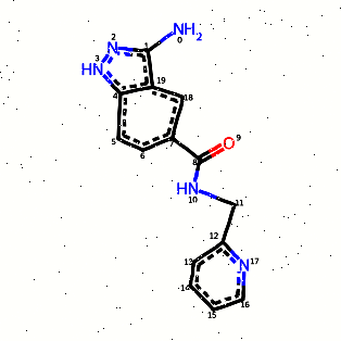 Nc1n[nH]c2ccc(C(=O)NCc3ccccn3)cc12